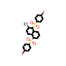 CCc1ccc2c(S(=O)(=O)c3ccc(I)cc3)cccc2c1S(=O)(=O)c1ccc(I)cc1